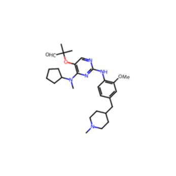 COc1cc(CC2CCN(C)CC2)ccc1Nc1ncc(OC(C)(C)C=O)c(N(C)C2CCCC2)n1